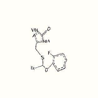 CCC(Oc1ccccc1F)SCc1n[nH]c(=O)[nH]1